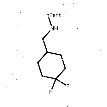 CCCCCNCC1CCC(F)(F)CC1